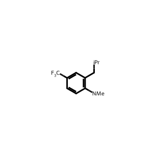 CNc1ccc(C(F)(F)F)cc1CC(C)C